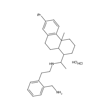 CC(C)c1ccc2c(c1)CCC1C(C(C)NCCc3ccccc3CN)CCCC21C.Cl.Cl